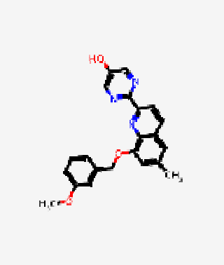 COc1cccc(COc2cc(C)cc3ccc(-c4ncc(O)cn4)nc23)c1